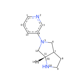 c1cncc(N2CC3CCN[C@@H]3C2)c1